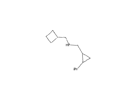 CC(C)C1CC1CPCC1CCC1